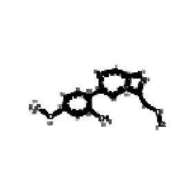 CCOCc1nnc2cnc(-c3ccc(OC(F)(F)F)cc3C)cn12